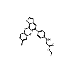 CCOC(=O)CNc1ccc(-c2nc(Oc3ccc(F)cc3F)c3sccc3n2)cc1